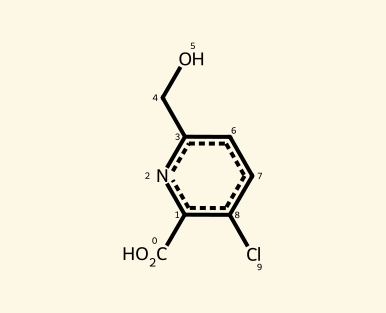 O=C(O)c1nc(CO)ccc1Cl